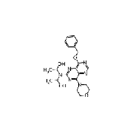 CC(O)N(c1nc(N2CCOCC2)c2ncnc(OCc3ccccc3)c2n1)C(C)O